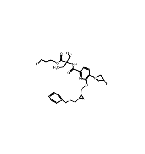 CCC(CC)(NC(=O)c1ccc(N2CC(F)C2)c(OC[C@@H]2C[C@H]2COCc2ccccc2)n1)C(=O)OCCCF